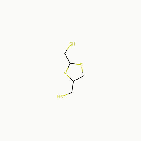 SCC1CSC(CS)S1